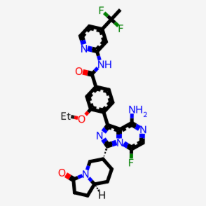 CCOc1cc(C(=O)Nc2cc(C(C)(F)F)ccn2)ccc1-c1nc([C@@H]2CC[C@H]3CCC(=O)N3C2)n2c(F)cnc(N)c12